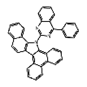 c1ccc(-c2nc(-n3c4c5ccccc5ccc4c4c5ccccc5c5ccccc5c43)nc3ccccc23)cc1